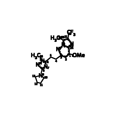 COc1cc(CCc2nc(N3CCCC3)nn2C)nn2c(C)c(C(F)(F)F)nc12